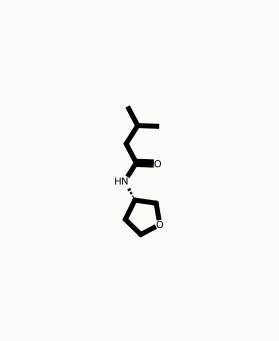 CC(C)CC(=O)N[C@H]1CCOC1